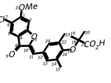 COc1cc2c(cc1Cl)C(=O)/C(=C/c1cc(C)c(OC(C)(C)C(=O)O)c(C)c1)O2